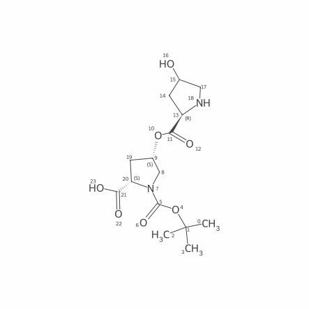 CC(C)(C)OC(=O)N1C[C@@H](OC(=O)[C@H]2CC(O)CN2)C[C@H]1C(=O)O